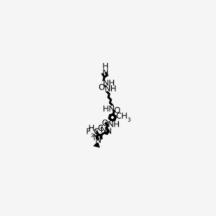 Cc1cc(NC(=O)c2ncc(-c3cn(C4CC4)nc3C(F)(F)F)n2C)ccc1C(=O)NCCCCCCNC(=O)NCC1CNC1